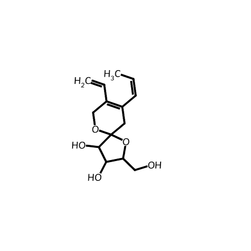 C=CC1=C(/C=C\C)CC2(OC1)OC(CO)C(O)C2O